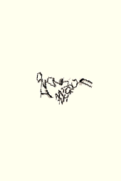 C[C@@H](N1CCC(Nc2ccccc2)C1)[C@](O)(Cn1cncn1)c1ccc(F)cc1F